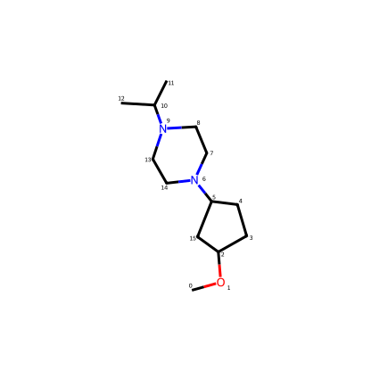 COC1CCC(N2CCN(C(C)C)CC2)C1